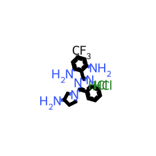 Cl.Cl.Nc1cc(C(F)(F)F)cc(N)c1-c1nc(N2CCC(N)C2)c2ccccc2n1